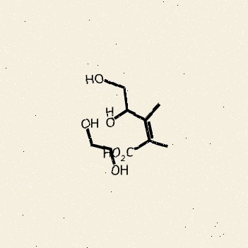 CC(C(=O)O)=C(C)C(O)CO.OCCO